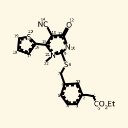 CCOC(=O)Cc1cccc(CSc2nc(=O)c(C#N)c(-c3cccs3)n2C)c1